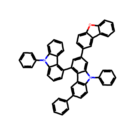 c1ccc(-c2ccc3c(c2)c2c(-c4cccc5c4c4ccccc4n5-c4ccccc4)cc(-c4ccc5oc6ccccc6c5c4)cc2n3-c2ccccc2)cc1